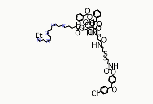 CC/C=C\C/C=C\C/C=C\C/C=C\C/C=C/CCCC(=O)OCC(C)(C)[C@@H](OC(=O)c1ccccc1OC(=O)c1ccccc1O)C(=O)NCCC(=O)NCCSSCCNC(=O)Oc1ccc(C(=O)c2ccc(Cl)cc2)cc1